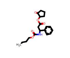 CCCCOC(=O)NC(CC(=O)OC1CCCC1=O)c1ccccc1